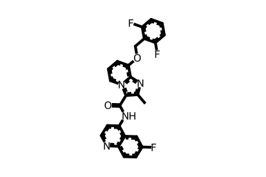 Cc1nc2c(OCc3c(F)cccc3F)cccn2c1C(=O)Nc1ccnc2ccc(F)cc12